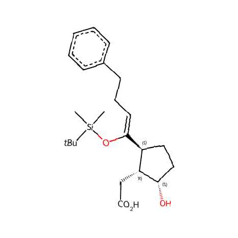 CC(C)(C)[Si](C)(C)OC(=CCCc1ccccc1)[C@H]1CC[C@H](O)[C@@H]1CC(=O)O